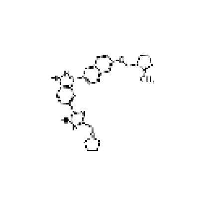 CN1CCCC1COc1ccc2cc(-c3n[nH]c4ccc(-c5nc(CN6CCCC6)n[nH]5)cc34)ccc2c1